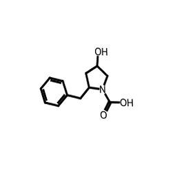 O=C(O)N1CC(O)CC1Cc1ccccc1